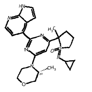 C[C@@H]1COCCN1c1cc(C2(C)CCCS2(=O)=NC2CC2)nc(-c2ccnc3[nH]ccc23)n1